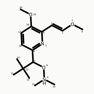 COC=Cc1nc(C(O[SiH](C)C)C(C)(C)C)ccc1OC